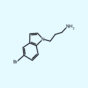 NCCCn1ccc2cc(Br)ccc21